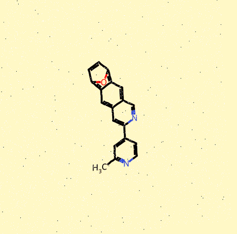 Cc1cc(-c2cc3cc4c5ccc(o5)c4cc3cn2)ccn1